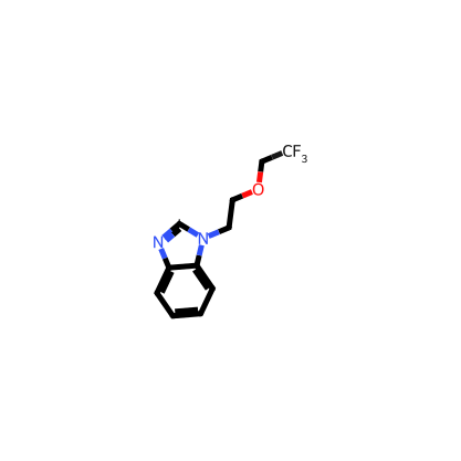 FC(F)(F)COCCn1[c]nc2ccccc21